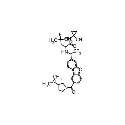 CN(C)C1CCN(C(=O)c2ccc3oc4cc(C(NC(CC(C)(C)F)C(=O)NC5(C#N)CC5)C(F)(F)F)ccc4c3c2)C1